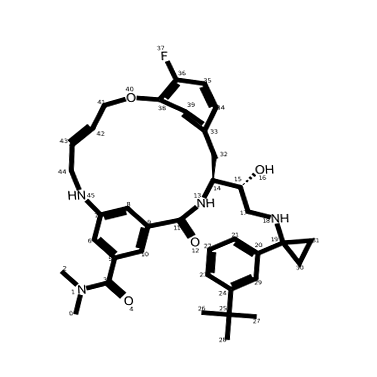 CN(C)C(=O)c1cc2cc(c1)C(=O)N[C@H]([C@H](O)CNC1(c3cccc(C(C)(C)C)c3)CC1)Cc1ccc(F)c(c1)OC/C=C/CN2